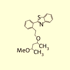 COC(C)CC(C)OCCc1ccccc1-c1nc2ccccc2s1